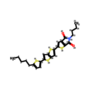 CCCCCc1ccc(-c2cc3sc(-c4cc5c(s4)C(=O)N(CCCC)C5=O)cc3s2)s1